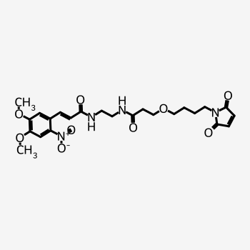 COc1cc(/C=C/C(=O)NCCNC(=O)CCOCCCCN2C(=O)C=CC2=O)c([N+](=O)[O-])cc1OC